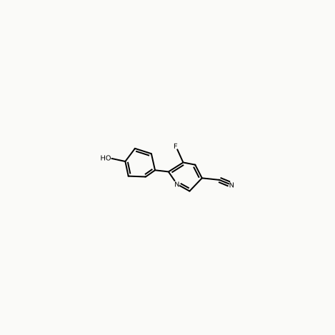 N#Cc1cnc(-c2ccc(O)cc2)c(F)c1